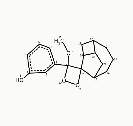 COC1(c2cccc(O)c2)OOC12C1CCCC3CC2C3C1